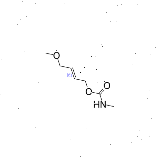 CNC(=O)OC/C=C/COC